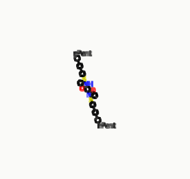 CCCCCC1CCC(c2ccc(-c3ccc(Sc4cccc5c4N=C4C=C6Oc7cccc(Sc8ccc(-c9ccc(C%10CCC(CCCCC)CC%10)cc9)cc8)c7NC6C=C4O5)cc3)cc2)CC1